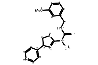 COc1cccc(CNC(=O)N(C)C2=NC(c3ccncc3)CS2)c1